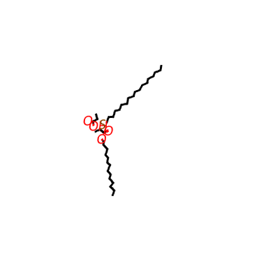 CCC(=O)O.CCCCCCCCCCCCCCCCCCSC(C)C(=O)OCCCCCCCCCCCCCC